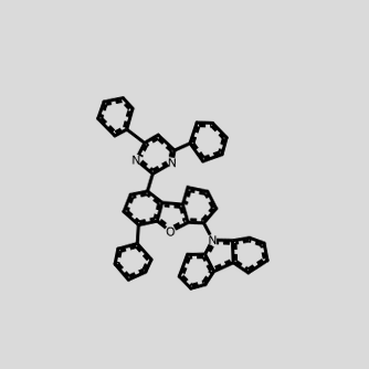 c1ccc(-c2cc(-c3ccccc3)nc(-c3ccc(-c4ccccc4)c4oc5c(-n6c7ccccc7c7ccccc76)cccc5c34)n2)cc1